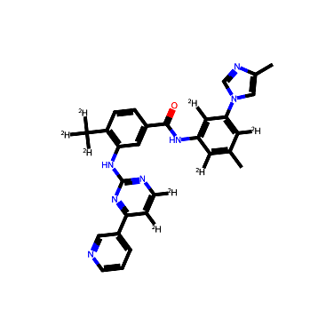 [2H]c1nc(Nc2cc(C(=O)Nc3c([2H])c(C)c([2H])c(-n4cnc(C)c4)c3[2H])ccc2C([2H])([2H])[2H])nc(-c2cccnc2)c1[2H]